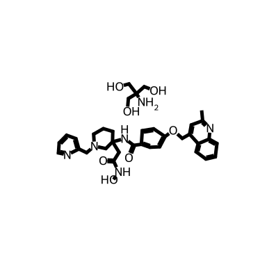 Cc1cc(COc2ccc(C(=O)NC3(CC(=O)NO)CCCN(Cc4ccccn4)C3)cc2)c2ccccc2n1.NC(CO)(CO)CO